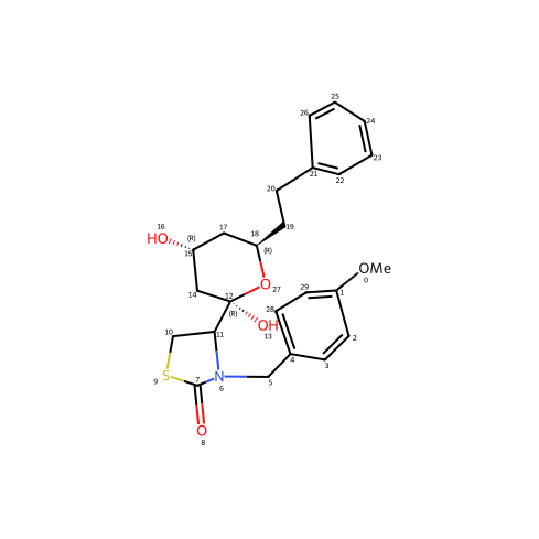 COc1ccc(CN2C(=O)SCC2[C@@]2(O)C[C@H](O)C[C@@H](CCc3ccccc3)O2)cc1